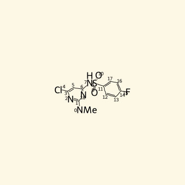 CNc1nc(Cl)cc(NS(=O)(=O)c2ccc(F)cc2)n1